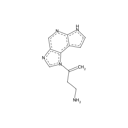 C=C(CCN)n1cnc2cnc3[nH]ccc3c21